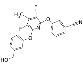 Cc1c(F)c(Oc2cccc(C#N)c2)nc(Oc2cccc(CO)c2)c1F